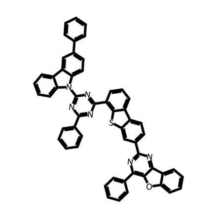 c1ccc(-c2ccc3c(c2)c2ccccc2n3-c2nc(-c3ccccc3)nc(-c3cccc4c3sc3cc(-c5nc(-c6ccccc6)c6oc7ccccc7c6n5)ccc34)n2)cc1